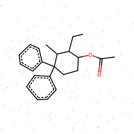 CCC1C(OC(C)=O)CCC(c2ccccc2)(c2ccccc2)C1C